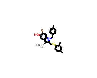 CCOC(=O)c1c(CSc2ccc(C)cc2C)n(Cc2ccc(C)cc2)c2cc(Br)c(O)cc12